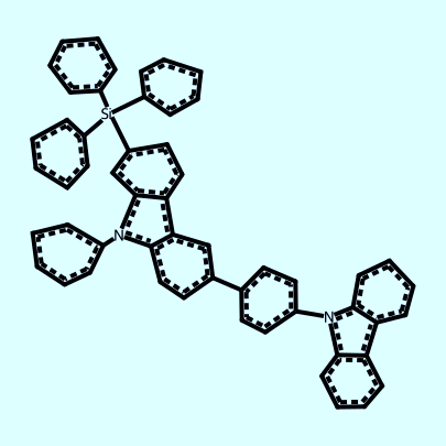 c1ccc(-n2c3ccc(-c4ccc(-n5c6ccccc6c6ccccc65)cc4)cc3c3ccc([Si](c4ccccc4)(c4ccccc4)c4ccccc4)cc32)cc1